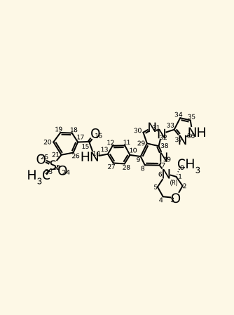 C[C@@H]1COCCN1c1cc(-c2ccc(NC(=O)c3cccc(S(C)(=O)=O)c3)cc2)c2cnn(-c3cc[nH]n3)c2n1